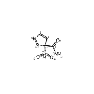 NC(=O)C1([SH](=O)=O)C=CN=C1